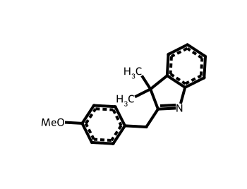 COc1ccc(CC2=Nc3ccccc3C2(C)C)cc1